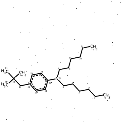 CCCCCCN(CCCCCC)c1cc[n+](CC(C)(C)C)cc1